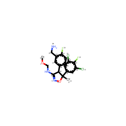 CCOCNC1=NOC(c2cc(Cl)c(F)c(Cl)c2)(C(F)(F)F)C1c1ccc(F)c(CN)c1